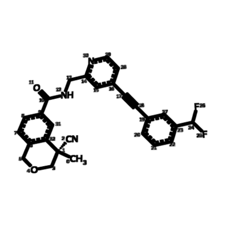 C[C@@]1(C#N)COCc2ccc(C(=O)NCc3cc(C#Cc4cccc(C(F)F)c4)ccn3)cc21